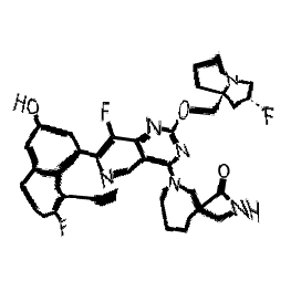 C#Cc1c(F)ccc2cc(O)cc(-c3ncc4c(N5CCCC6(CNC6=O)C5)nc(OC[C@@]56CCCN5C[C@H](F)C6)nc4c3F)c12